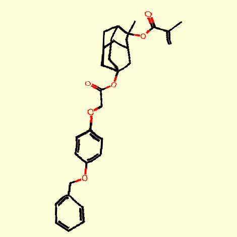 C=C(C)C(=O)OC1(C)C2CC3CC1CC(OC(=O)COc1ccc(OCc4ccccc4)cc1)(C3)C2